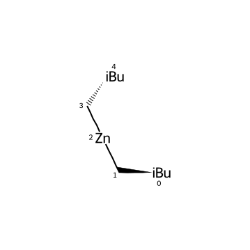 CC[C@H](C)[CH2][Zn][CH2][C@@H](C)CC